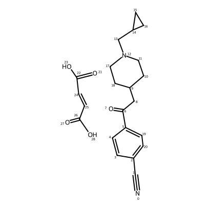 N#Cc1ccc(C(=O)CC2CCN(CC3CC3)CC2)cc1.O=C(O)C=CC(=O)O